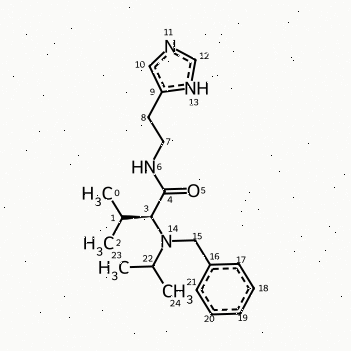 CC(C)[C@@H](C(=O)NCCc1cnc[nH]1)N(Cc1ccccc1)C(C)C